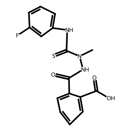 CN(NC(=O)c1ccccc1C(=O)O)C(=S)Nc1cccc(F)c1